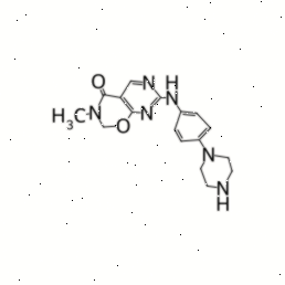 CN1COc2nc(Nc3ccc(N4CCNCC4)cc3)ncc2C1=O